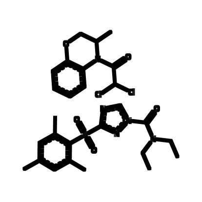 CC1COc2ccccc2N1C(=O)C(Cl)Cl.CCN(CC)C(=O)n1cnc(S(=O)(=O)c2c(C)cc(C)cc2C)n1